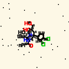 CCCC(=O)NCC(CC(O)CO)(c1ccc(Cl)c(Cl)c1)N(CC(C)(C)C)C(=O)O